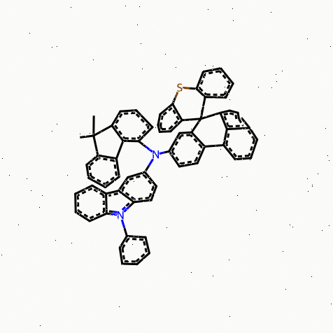 CC1(C)c2ccccc2-c2c(N(c3ccc4c(c3)C3(c5ccccc5Sc5ccccc53)c3cccc5cccc-4c35)c3ccc4c(c3)c3ccccc3n4-c3ccccc3)cccc21